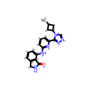 N#CC1CC(n2cnnc2-c2cccc(Nc3cccc4c3C(=O)NC4)n2)C1